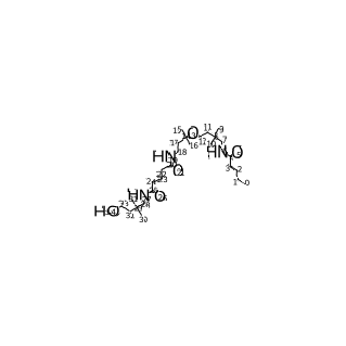 CCCCC(=O)NCC(C)(C)CCOC(C)(C)CCNC(=O)CCCC(=O)NCC(C)(C)CCO